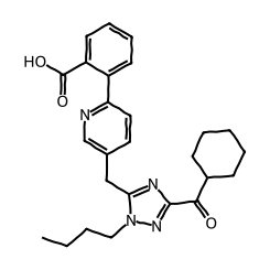 CCCCn1nc(C(=O)C2CCCCC2)nc1Cc1ccc(-c2ccccc2C(=O)O)nc1